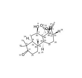 C=C1C(=O)[C@@]23[C@H](O)C[C@@H]4C(C)(C)C(=O)CC[C@@]4(C)[C@@H]2CC[C@@H]1[C@H]3OC(C)=O